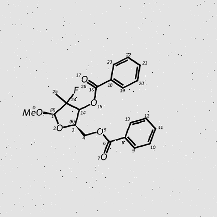 CO[C@@H]1O[C@H](COC(=O)c2ccccc2)C(OC(=O)c2ccccc2)C1(C)F